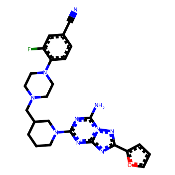 N#Cc1ccc(N2CCN(CC3CCCN(c4nc(N)n5nc(-c6ccco6)nc5n4)C3)CC2)c(F)c1